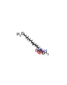 CCCCCCCCCCCC=CCCCCCN(CC(=O)NC)C(=O)O